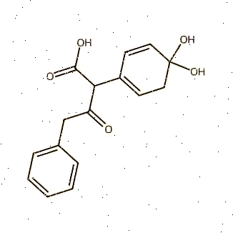 O=C(O)C(C(=O)Cc1ccccc1)C1=CCC(O)(O)C=C1